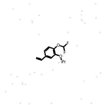 C=Cc1ccc(OC(F)F)c(OC(C)C)c1